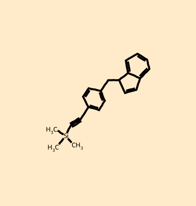 C[Si](C)(C)C#Cc1ccc(CC2C=Cc3ccccc32)cc1